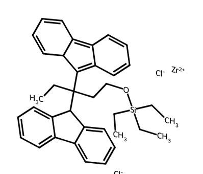 CCC(CCO[Si](CC)(CC)CC)(C1=c2ccccc2=C2C=CC=CC21)C1c2ccccc2-c2ccccc21.[Cl-].[Cl-].[Zr+2]